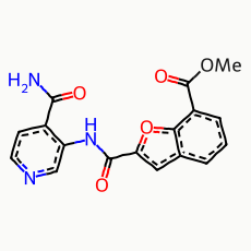 COC(=O)c1cccc2cc(C(=O)Nc3cnccc3C(N)=O)oc12